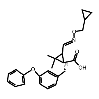 CC1(C)C(C=NOCC2CC2)[C@@]1(Cc1cccc(Oc2ccccc2)c1)C(=O)O